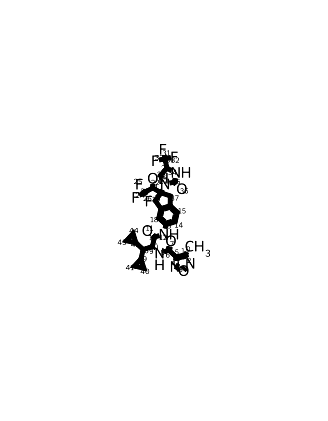 Cc1nonc1C(=O)N[C@H](C(=O)Nc1ccc2c(c1)CC(C(O)C(F)(F)F)(N1CC(C(F)(F)F)NC1=O)C2)C(C1CC1)C1CC1